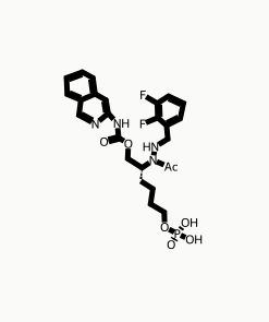 CC(=O)N(NCc1cccc(F)c1F)[C@H](CCCCOP(=O)(O)O)COC(=O)Nc1cc2ccccc2cn1